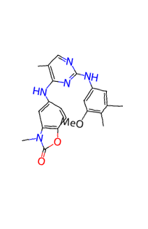 COc1cc(Nc2ncc(C)c(Nc3ccc4oc(=O)n(C)c4c3)n2)cc(C)c1C